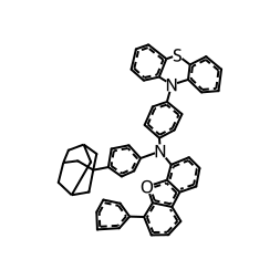 c1ccc(-c2cccc3c2oc2c(N(c4ccc(N5c6ccccc6Sc6ccccc65)cc4)c4ccc(C56CC7CC(CC(C7)C5)C6)cc4)cccc23)cc1